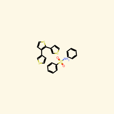 NS(=O)(=O)c1ccccc1.c1cc(-c2ccsc2-c2ccsc2)cs1.c1ccccc1